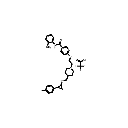 Nc1ccccc1NC(=O)c1ccc(OCCN2CCC(CNC3CC3c3ccc(F)cc3)CC2)nc1.O=C(O)C(F)(F)F